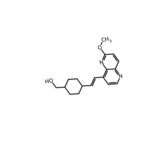 COc1ccc2nccc(C=CC3CCC(CO)CC3)c2n1